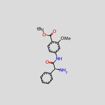 COc1cc(NC(=O)[C@@H](N)c2ccccc2)ccc1C(=O)OC(C)(C)C